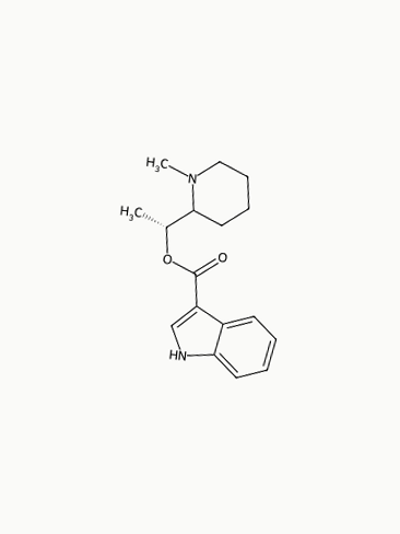 C[C@@H](OC(=O)c1c[nH]c2ccccc12)C1CCCCN1C